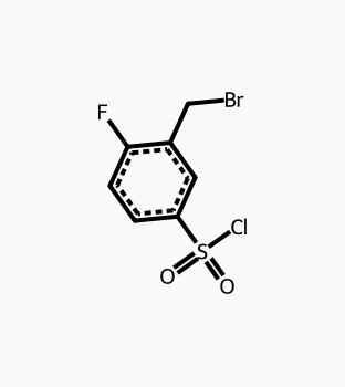 O=S(=O)(Cl)c1ccc(F)c(CBr)c1